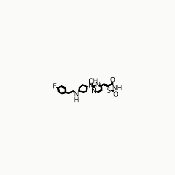 CN(c1nccc(/C=C2\SC(=O)NC2=O)n1)[C@H]1CC[C@H](NCCc2ccc(F)cc2)CC1